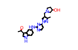 CC(=O)c1c[nH]c2ccc(Nc3nccc(-n4cc(CN5CCC(O)C5)c(C)n4)n3)cc12